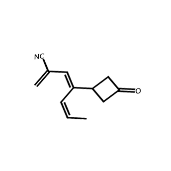 C=C(C#N)/C=C(\C=C/C)C1CC(=O)C1